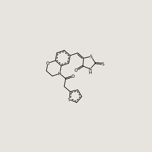 O=C1NC(=S)SC1=Cc1ccc2c(c1)N(C(=O)Cc1cccs1)CCO2